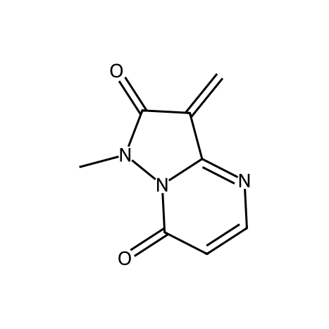 C=c1c(=O)n(C)n2c(=O)ccnc12